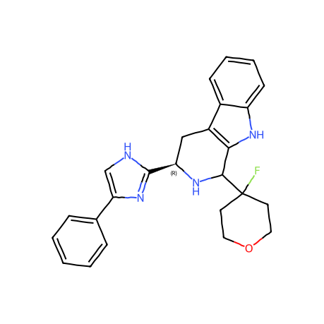 FC1(C2N[C@@H](c3nc(-c4ccccc4)c[nH]3)Cc3c2[nH]c2ccccc32)CCOCC1